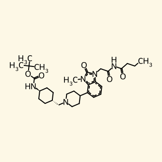 CCCC(=O)NC(=O)Cn1c(=O)n(C)c2c(C3CCN(C[C@H]4CC[C@H](NC(=O)OC(C)(C)C)CC4)CC3)cccc21